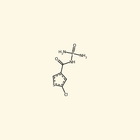 NP(N)(=O)NC(=O)c1csc(Cl)c1